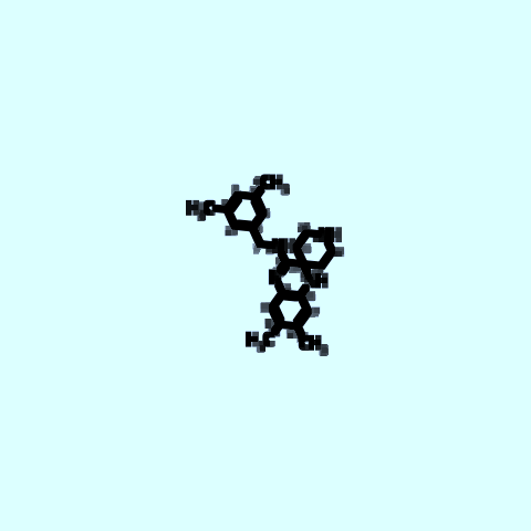 Cc1cc(C)cc(CNC2=Nc3cc(C)c(C)cc3NC23CCNCC3)c1